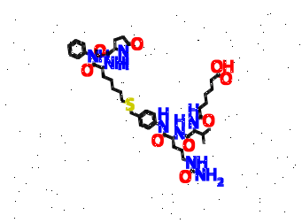 CC(C)[C@H](NC(=O)CCCCCC(=O)O)C(=O)N[C@@H](CCCNC(N)=O)C(=O)Nc1ccc(CSCCCCC[C@H](NC(=O)[C@H]2CCC(=O)N2)C(=O)Nc2ccccc2)cc1